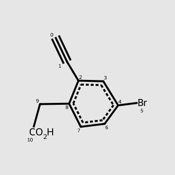 C#Cc1cc(Br)ccc1CC(=O)O